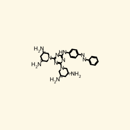 N[C@@H]1C[C@H](N)CN(c2nc(Nc3ccc(N=Nc4ccccc4)cc3)nc(N3C[C@H](N)C[C@H](N)C3)n2)C1